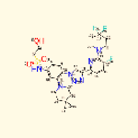 O=S(=O)(CCO)Nc1ccc(-n2cc(-c3ccc(F)c(N4CCC(F)(F)CC4)n3)nn2)c(N2CCC3(CC2)CC3)c1